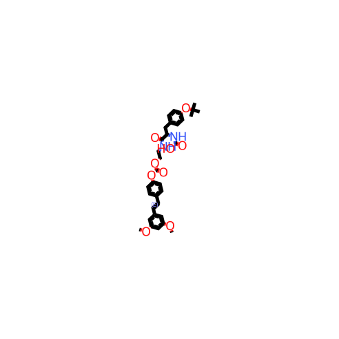 COc1cc(/C=C/c2ccc(OC(=O)OCCNC(=O)C(Cc3ccc(OC(C)(C)C)cc3)NC(=O)O)cc2)cc(OC)c1